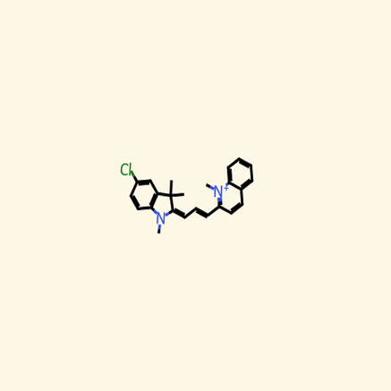 CN1C(=CC=Cc2ccc3ccccc3[n+]2C)C(C)(C)c2cc(Cl)ccc21